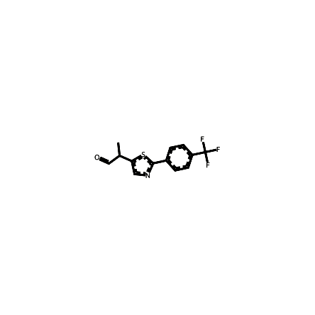 CC(C=O)c1cnc(-c2ccc(C(F)(F)F)cc2)s1